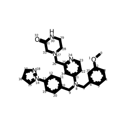 COc1cccc(CN(Cc2ccc(-n3cccn3)cc2)c2ccnc(CN3CCNC(=O)C3)c2)c1